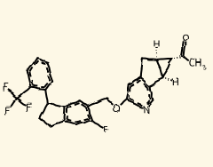 CC(=O)[C@H]1[C@@H]2Cc3cc(OCc4cc5c(cc4F)CCC5c4ccccc4C(F)(F)F)ncc3[C@@H]21